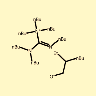 CCCCC(CC)C[O-].CCCCN=C(N(CCCC)CCCC)[N+](CCCC)(CCCC)CCCC